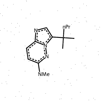 CCCC(C)(C)c1cnc2ccc(NC)nn12